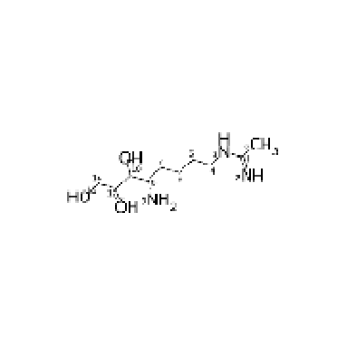 CC(=N)NCCCC[C@H](N)C(O)C(O)CO